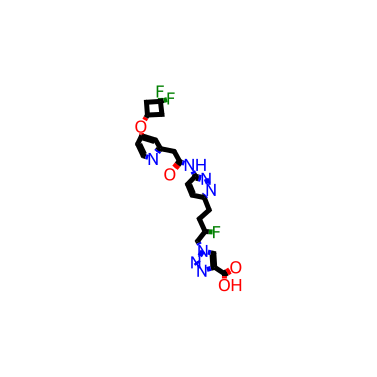 O=C(Cc1cc(OC2CC(F)(F)C2)ccn1)Nc1ccc(CCC(F)Cn2cc(C(=O)O)nn2)nn1